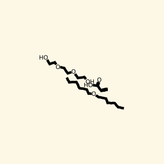 C=CC(=O)O.CCCCCCOCCCCCC.OCCOCCOCCO